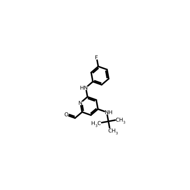 CC(C)(C)Nc1cc(C=O)nc(Nc2cccc(F)c2)c1